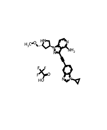 COC[C@H]1C[C@H](n2nc(C#Cc3ccc4c(c3)ncn4C3CC3)c3c(N)nccc32)CN1.O=C(O)C(F)(F)F